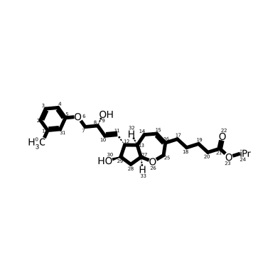 Cc1cccc(OC[C@H](O)C=C[C@@H]2[C@H]3CC=C(CCCCC(=O)OC(C)C)CO[C@H]3C[C@H]2O)c1